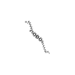 CCCCCCCCCCOc1ccc(-c2cnc(-c3ccc(OCC(F)CCCCCCCC)cc3)nc2)cc1